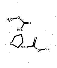 C1CCOC1.CCCCOC(=O)OC.COC(=O)O